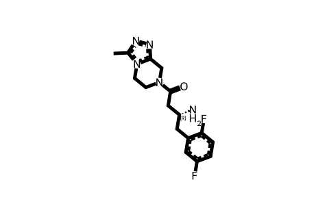 Cc1nnc2n1CCN(C(=O)C[C@H](N)Cc1cc(F)ccc1F)C2